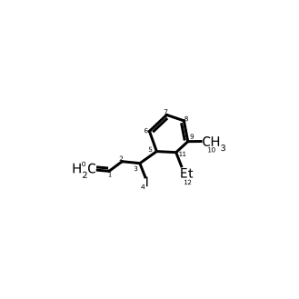 C=CCC(I)C1C=CC=C(C)C1CC